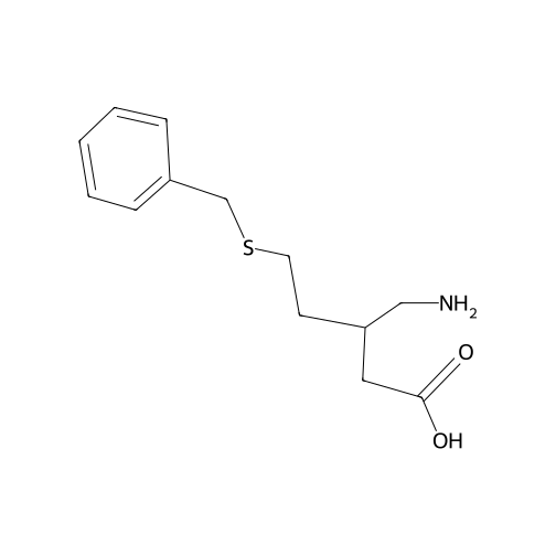 NCC(CCSCc1ccccc1)CC(=O)O